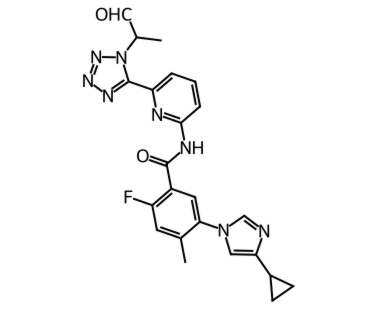 Cc1cc(F)c(C(=O)Nc2cccc(-c3nnnn3C(C)C=O)n2)cc1-n1cnc(C2CC2)c1